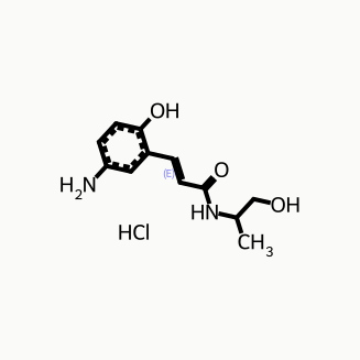 CC(CO)NC(=O)/C=C/c1cc(N)ccc1O.Cl